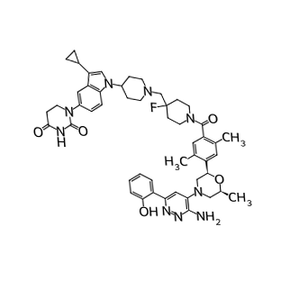 Cc1cc([C@@H]2CN(c3cc(-c4ccccc4O)nnc3N)C[C@H](C)O2)c(C)cc1C(=O)N1CCC(F)(CN2CCC(n3cc(C4CC4)c4cc(N5CCC(=O)NC5=O)ccc43)CC2)CC1